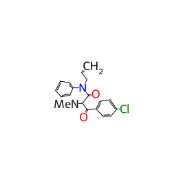 C=CCN(C(=O)C(NC)C(=O)c1ccc(Cl)cc1)c1ccccc1